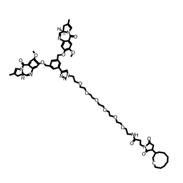 COc1cc2c(cc1OCc1cc(COc3cc4c(cc3OC)C(=O)N3C=C(C)C[C@H]3C=N4)cc(-c3cn(CCOCCOCCOCCOCCOCCOCCNC(=O)CCN4C(=O)CC(C5CCCCCCCCC5)C4=O)nn3)c1)N=C[C@@H]1CC(C)=CN1C2=O